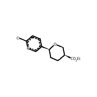 CCOC(=O)[C@H]1CC[C@@H](c2ccc(Cl)nc2)OC1